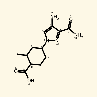 CC1CC(n2cc(N)c(C(N)=O)n2)CCC1C(=O)O